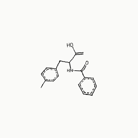 C=C(O)C(Cc1ccc(C)cc1)NC(=O)c1ccccc1